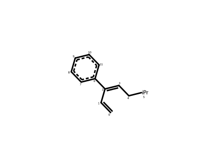 C=CC(=CCC(C)C)c1ccccc1